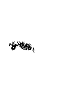 C[C@H](NC(=O)[C@@H](N)Cc1c[nH]c2ccccc12)C(=O)N[C@@H](CCC(N)=O)C(=O)O